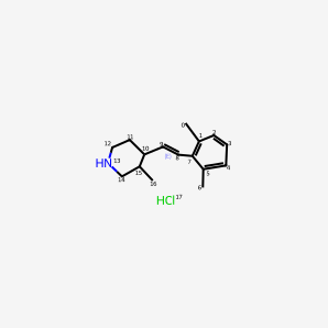 Cc1cccc(C)c1/C=C/C1CCNCC1C.Cl